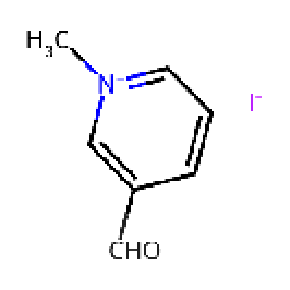 C[n+]1cccc(C=O)c1.[I-]